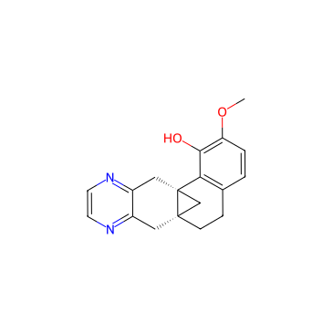 COc1ccc2c(c1O)[C@]13Cc4nccnc4C[C@@]1(CC2)C3